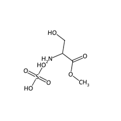 COC(=O)C(N)CO.O=S(=O)(O)O